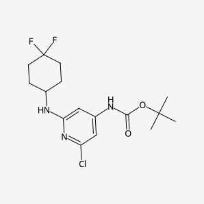 CC(C)(C)OC(=O)Nc1cc(Cl)nc(NC2CCC(F)(F)CC2)c1